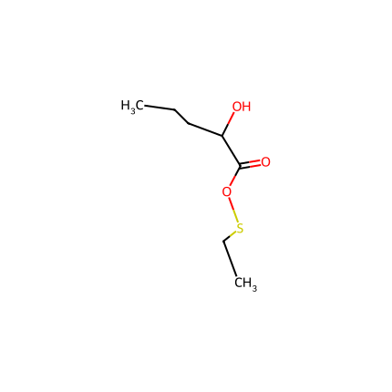 CCCC(O)C(=O)OSCC